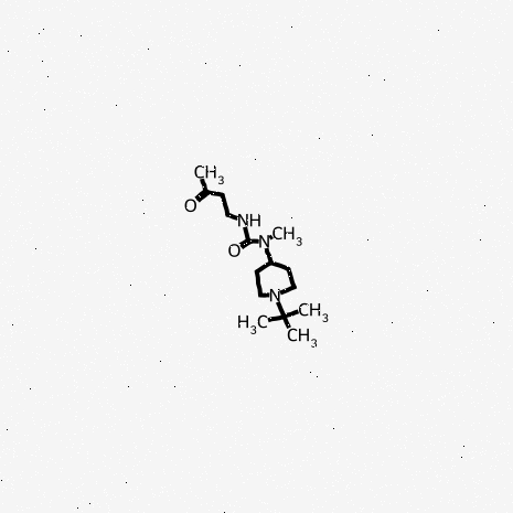 CC(=O)CCNC(=O)N(C)C1CCN(C(C)(C)C)CC1